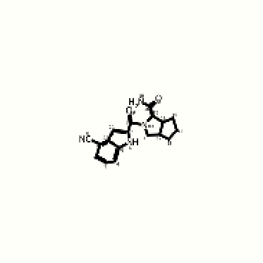 N#Cc1cccc2[nH]c(C(=O)N3CC4CCCC4C3C(N)=O)cc12